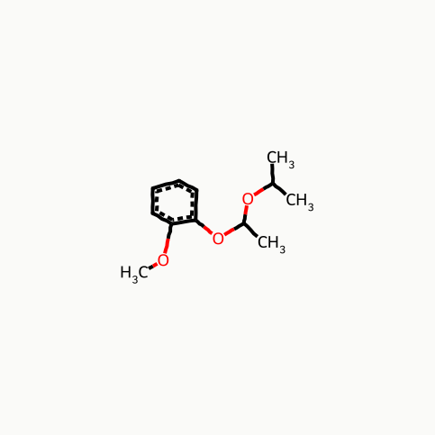 COc1ccccc1OC(C)OC(C)C